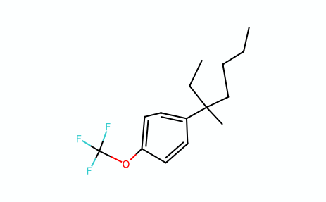 CCCCC(C)(CC)c1ccc(OC(F)(F)F)cc1